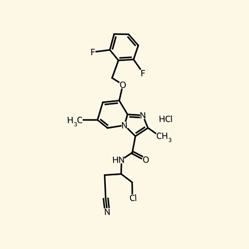 Cc1cc(OCc2c(F)cccc2F)c2nc(C)c(C(=O)NC(CCl)CC#N)n2c1.Cl